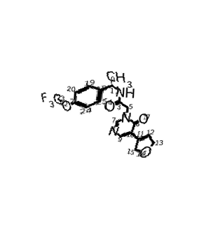 C[C@H](NC(=O)Cn1cncc(C2=CCOC2)c1=O)c1ccc(OC(F)(F)F)cc1